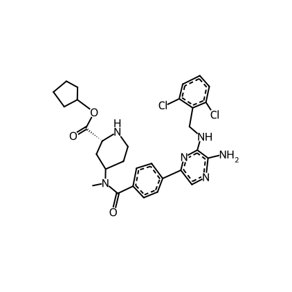 CN(C(=O)c1ccc(-c2cnc(N)c(NCc3c(Cl)cccc3Cl)n2)cc1)C1CCN[C@@H](C(=O)OC2CCCC2)C1